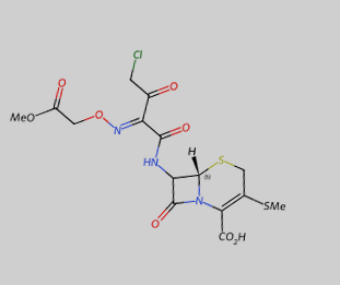 COC(=O)CON=C(C(=O)CCl)C(=O)NC1C(=O)N2C(C(=O)O)=C(SC)CS[C@@H]12